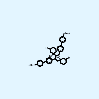 CCCCCCc1ccc(-c2ccc(C(CC3(C#N)CCCC(CC)C3)C(Cc3ccc(-c4ccc(CCCCC)cc4)cc3)C3(C#N)CCCC(CC)C3)cc2)cc1